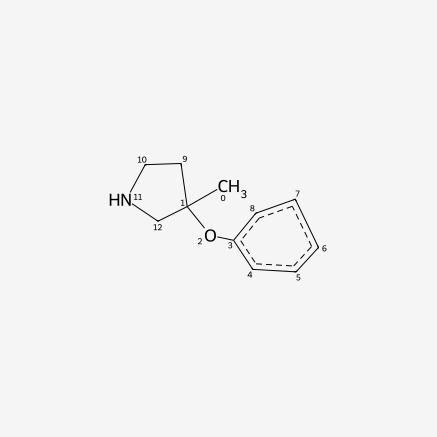 CC1(Oc2ccccc2)CCNC1